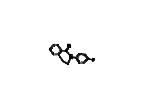 O=C1c2ccccc2CCN1c1ccc(F)cc1